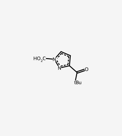 CC(C)(C)C(=O)c1ccn(C(=O)O)n1